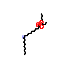 CCCCCCCC/C=C\CCCCCCCC(=O)OC(CC)OCCCC